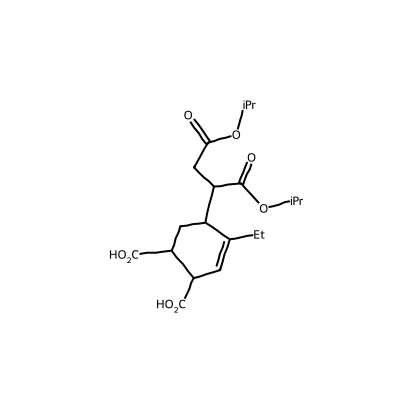 CCC1=CC(C(=O)O)C(C(=O)O)CC1C(CC(=O)OC(C)C)C(=O)OC(C)C